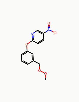 COOCc1cccc(Oc2ccc([N+](=O)[O-])cn2)c1